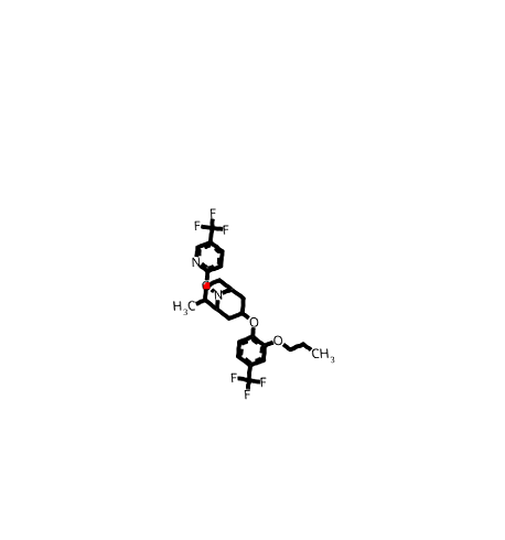 CCCOc1cc(C(F)(F)F)ccc1OC1CC2CCC(C)C(C1)N2Oc1ccc(C(F)(F)F)cn1